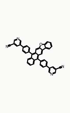 N#Cc1cncc(-c2ccc(-c3c4ccccc4c(-c4ccc(-c5cncc(C#N)c5)cc4)c4cc5c(cc34)oc3ccccc35)cc2)c1